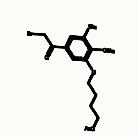 COc1c(OCCCCOC(C)=O)cc(C(=O)CBr)cc1C(C)(C)C